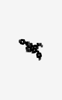 NC(=O)Cn1c(=O)c(C(=O)NCCN2CCOCC2)c(O)c2ncc(Cc3ccc(F)cc3)cc21